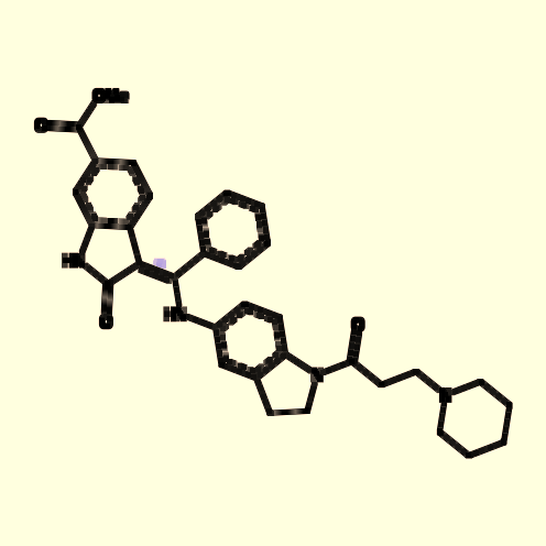 COC(=O)c1ccc2c(c1)NC(=O)/C2=C(\Nc1ccc2c(c1)CCN2C(=O)CCN1CCCCC1)c1ccccc1